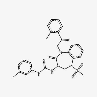 Cc1cccc(NC(=O)NC2CN(S(C)(=O)=O)c3ccccc3N(CC(=O)c3ccccc3C)C2=O)c1